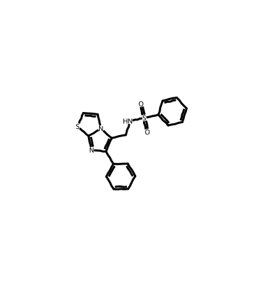 O=S(=O)(NCc1c(-c2ccccc2)nc2sccn12)c1ccccc1